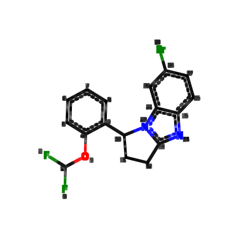 FC(F)Oc1ccccc1C1CCc2nc3ccc(Br)cc3n21